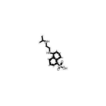 CC(C)NCCNc1cccc2c(S(=O)(=O)O)cccc12